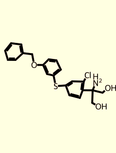 NC(CO)(CO)c1ccc(Sc2cccc(OCc3ccccc3)c2)cc1Cl